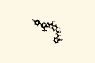 CC(C)c1cc(-c2ccc(F)cc2)nn2cc(C(=O)N3CCN(C(=O)CCN4CCCCC4=O)[C@@H](C)C3)nc12